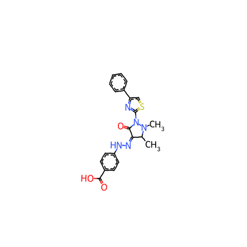 CC1/C(=N/Nc2ccc(C(=O)O)cc2)C(=O)N(c2nc(-c3ccccc3)cs2)N1C